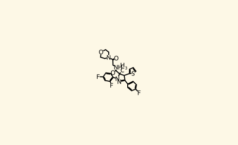 CC1(C(=O)NCC(=O)N2CCOCC2)C(c2cccs2)C(c2ccc(F)cc2)=NN1c1ccc(F)cc1F